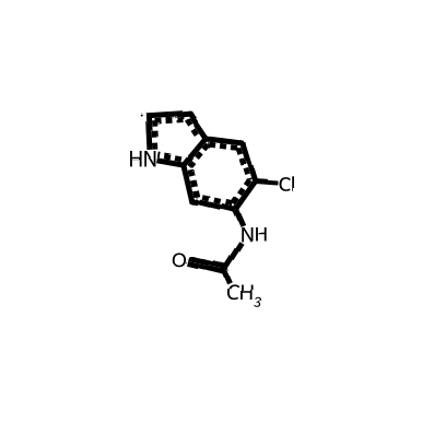 CC(=O)Nc1cc2[nH][c]cc2cc1Cl